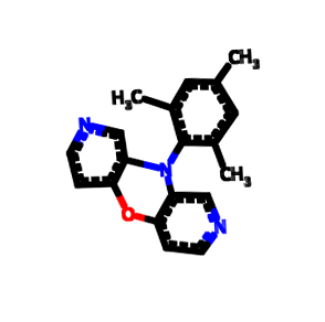 Cc1cc(C)c(N2c3cnccc3Oc3ccncc32)c(C)c1